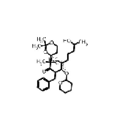 CC(O)CCC[C@H](C)[C@@H](OC1CCCCO1)C(Cc1ccccc1)C(=O)C(C)(C)[C@@H]1CCOC(C)(C)O1